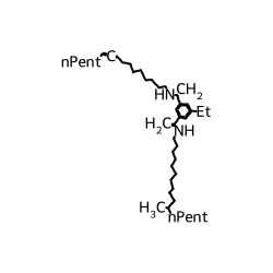 C=C(NCCCCCCCCC=C=CCCCCC)c1cc(CC)cc(C(=C)NCCCCCCCCCCC(C)CCCCC)c1